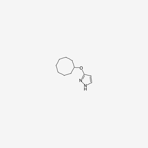 c1cc(OC2CCCCCCC2)n[nH]1